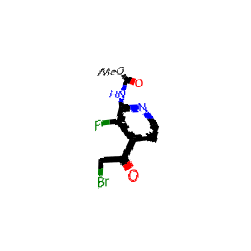 COC(=O)Nc1nccc(C(=O)CBr)c1F